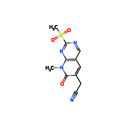 Cn1c(=O)c(CC#N)cc2cnc(S(C)(=O)=O)nc21